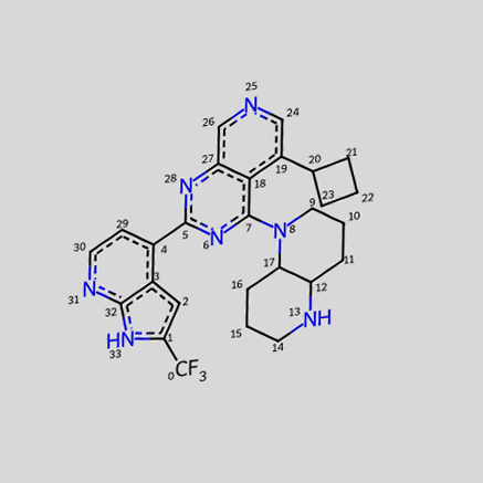 FC(F)(F)c1cc2c(-c3nc(N4CCCC5NCCCC54)c4c(C5CCC5)cncc4n3)ccnc2[nH]1